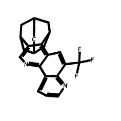 FC(F)(F)c1cc2c3c(cnc2c2cccnc12)C1CC2CC(C1)CC3C2